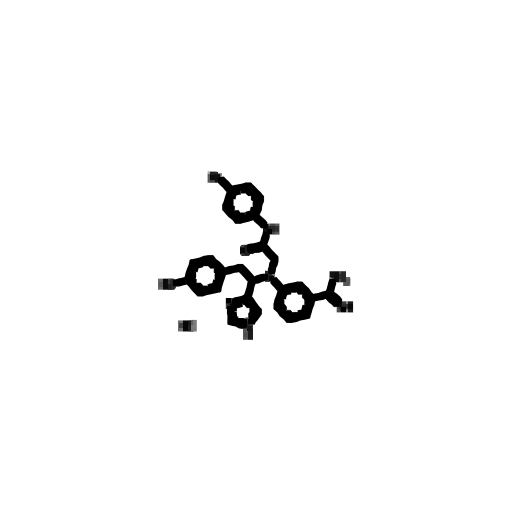 CC(C)c1ccc(NC(=O)CN(c2cccc(C(=N)N)c2)C(Cc2ccc(O)cc2)c2c[nH]cn2)cc1.Cl